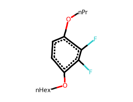 CCCCCCOc1ccc(OCCC)c(F)c1F